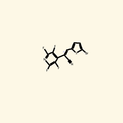 N#C/C(=C\c1ccc(Br)s1)c1c(F)c(F)nc(F)c1F